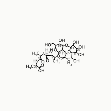 CC(=O)NC1[C@@H](OC(C)[C@H](N)C(=O)N[C@@H](C)C(=O)N[C@@H](C)C(=O)O)OC(CO)[C@H](O)[C@@H]1O[C@@H]1OC(CO)[C@H](O)[C@H](O)C1O